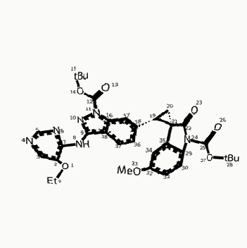 CCOc1cncnc1Nc1nn(C(=O)OC(C)(C)C)c2cc([C@@H]3C[C@@]34C(=O)N(C(=O)OC(C)(C)C)c3ccc(OC)cc34)ccc12